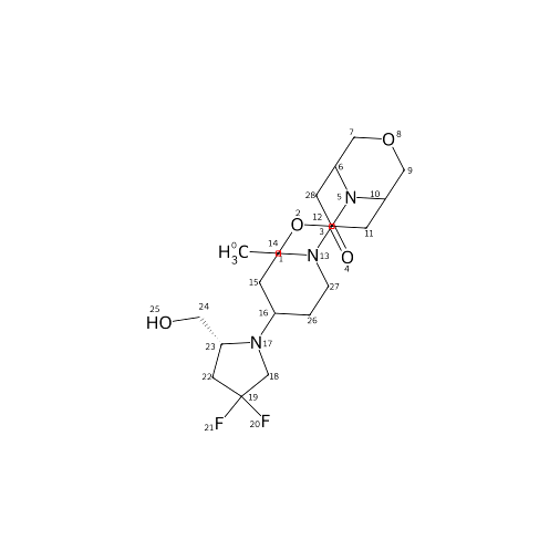 CCOC(=O)N1C2COCC1CC(N1CCC(N3CC(F)(F)C[C@@H]3CO)CC1)C2